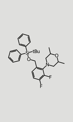 CC1CN(c2c(CO[Si](c3ccccc3)(c3ccccc3)C(C)(C)C)ccc(F)c2F)CC(C)O1